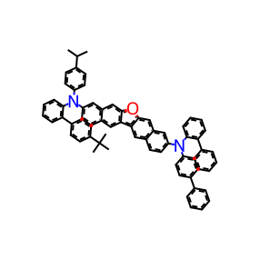 CC(C)c1ccc(N(c2ccc3cc4c(cc3c2)oc2cc3cc(N(c5ccc(-c6ccccc6)cc5)c5ccccc5-c5ccccc5)ccc3cc24)c2ccccc2-c2ccc(C(C)(C)C)cc2)cc1